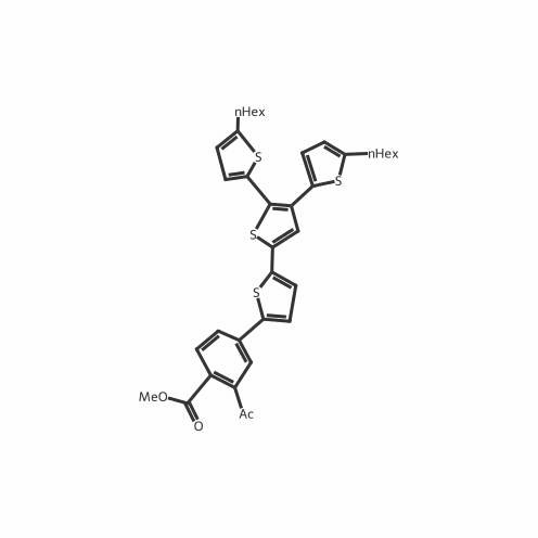 CCCCCCc1ccc(-c2cc(-c3ccc(-c4ccc(C(=O)OC)c(C(C)=O)c4)s3)sc2-c2ccc(CCCCCC)s2)s1